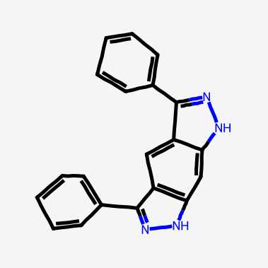 c1ccc(-c2n[nH]c3cc4[nH]nc(-c5ccccc5)c4cc23)cc1